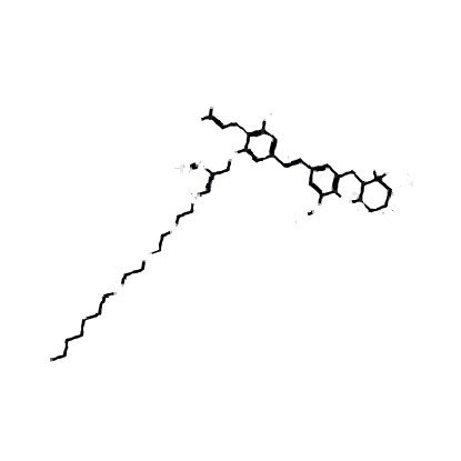 COc1cc(/C=C/c2cc(O)c(CC=C(C)C)c(OC/C(=C/NCCOCCOCCOCCCCCCCl)N=N)c2)cc2c1O[C@]1(C)C[C@@H](O)[C@@H](O)C(C)(C)C1C2